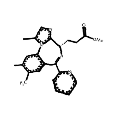 COC(=O)CC[C@@H]1N=C(c2ccccn2)c2cc(C(F)(F)F)c(C)cc2-n2c(C)cnc21